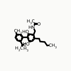 C=C(C)c1ccc(C)cc1-c1c(O)cc(CCCCC)c(CNC(C)=O)c1O